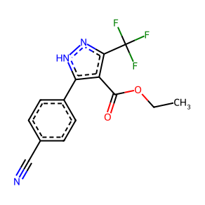 CCOC(=O)c1c(C(F)(F)F)n[nH]c1-c1ccc(C#N)cc1